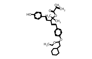 C=C(C)C(=O)OC(C)(C)C(C=Cc1ccc(O)cc1)C=Cc1ccc(OC(CC2CCCCC2)OCC)cc1